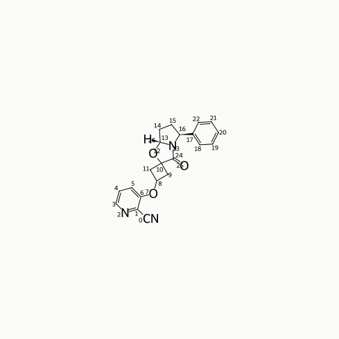 N#Cc1ncccc1OC1CC2(C1)O[C@@H]1CC[C@@H](c3ccccc3)N1C2=O